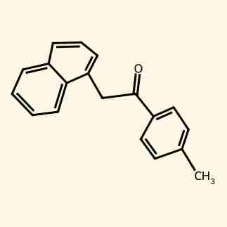 Cc1ccc(C(=O)Cc2cccc3ccccc23)cc1